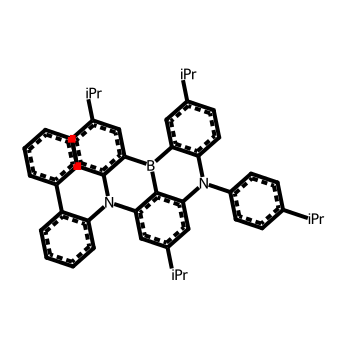 CC(C)c1ccc(N2c3ccc(C(C)C)cc3B3c4cc(C(C)C)ccc4N(c4ccccc4-c4ccccc4)c4cc(C(C)C)cc2c43)cc1